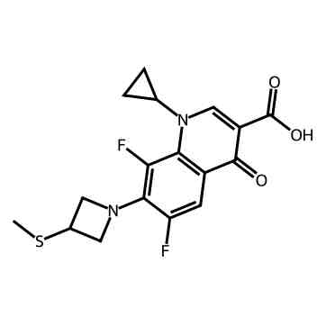 CSC1CN(c2c(F)cc3c(=O)c(C(=O)O)cn(C4CC4)c3c2F)C1